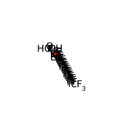 CCN(CCCP(=O)(O)O)S(=O)(=O)C(F)(F)C(F)(F)C(F)(F)C(F)(F)C(F)(F)C(F)(F)C(F)(F)C(F)(F)C(F)(F)C(F)(F)C(F)(F)C(F)(F)C(F)(F)C(F)(F)C(F)(F)C(F)(F)C(F)(F)C(F)(F)F